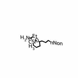 CCCCCCCCCCCCC1CCC[Si](C)(C(N)CC)O1